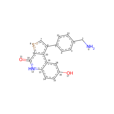 NCc1ccc(-c2csc3c(=O)[nH]c4ccc(O)cc4c23)cc1